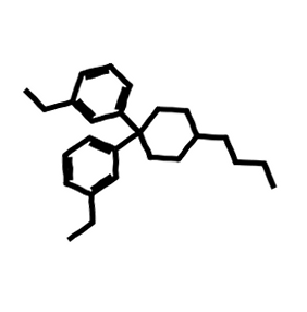 CCCCC1CCC(c2cccc(CC)c2)(c2cccc(CC)c2)CC1